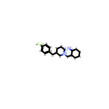 NC1CCCCC1CN1CCCC(Cc2ccc(F)cc2)C1